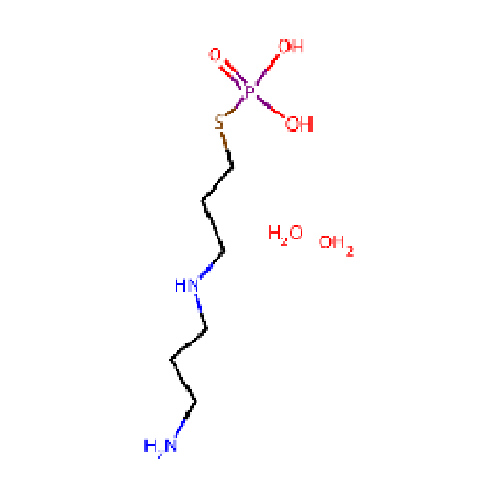 NCCCNCCCSP(=O)(O)O.O.O